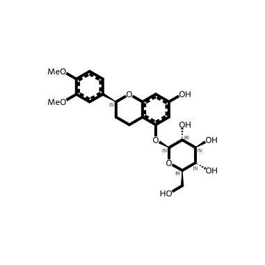 COc1ccc([C@@H]2CCc3c(O[C@@H]4O[C@H](CO)[C@@H](O)[C@H](O)[C@H]4O)cc(O)cc3O2)cc1OC